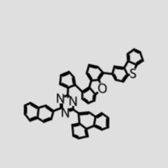 c1ccc(-c2cccc3oc4c(-c5ccc6sc7ccccc7c6c5)cccc4c23)c(-c2nc(-c3ccc4ccccc4c3)nc(-c3cc4ccccc4c4ccccc34)n2)c1